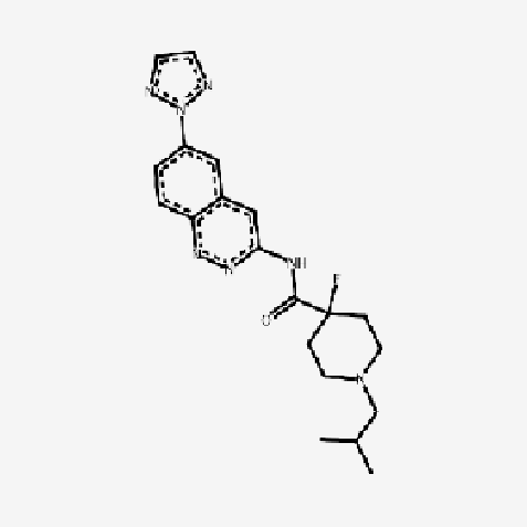 CC(C)CN1CCC(F)(C(=O)Nc2cc3cc(-n4nccn4)ccc3nn2)CC1